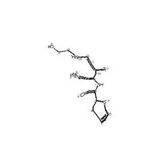 N=C(NC(=O)C1CC=CS1)/C(F)=C\NCCO